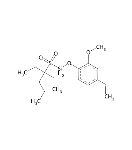 C=Cc1ccc(O[SiH2]S(=O)(=O)C(CC)(CC)CCC)c(OC)c1